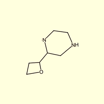 C1CNCC(C2CCO2)[N]1